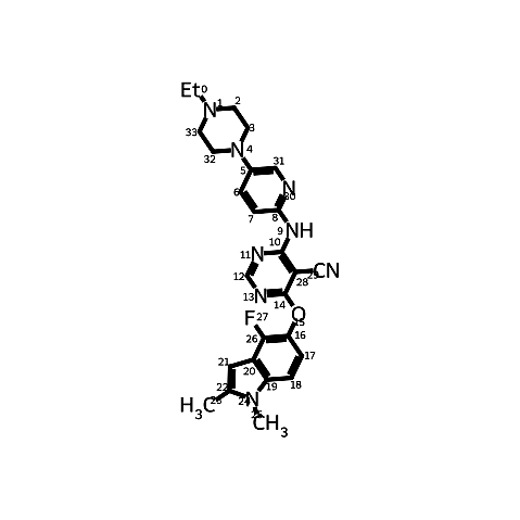 CCN1CCN(c2ccc(Nc3ncnc(Oc4ccc5c(cc(C)n5C)c4F)c3C#N)nc2)CC1